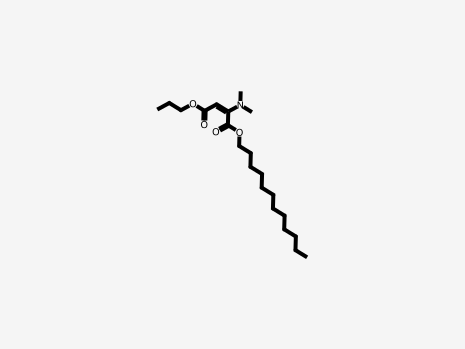 CCCCCCCCCCCCOC(=O)/C(=C\C(=O)OCCC)N(C)C